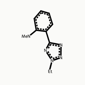 CCn1nnc(-c2ccccc2NC)n1